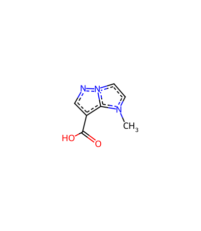 Cn1ccn2ncc(C(=O)O)c12